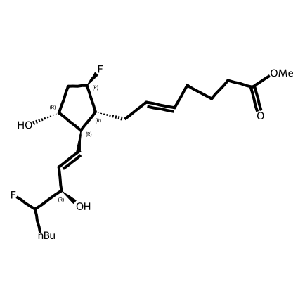 CCCCC(F)[C@H](O)C=C[C@@H]1[C@@H](CC=CCCCC(=O)OC)[C@H](F)C[C@H]1O